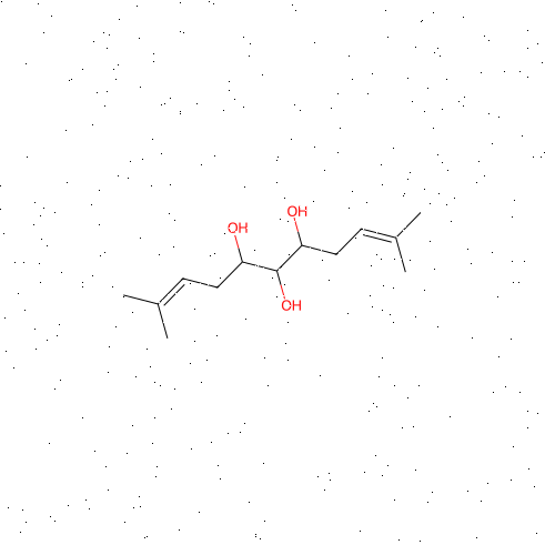 CC(C)=CCC(O)C(O)C(O)CC=C(C)C